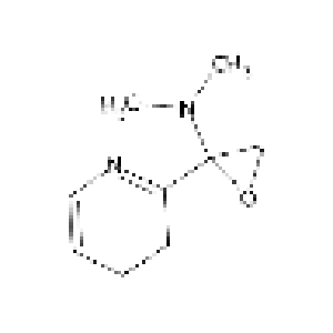 CN(C)C1(C2=NC=CCC2)CO1